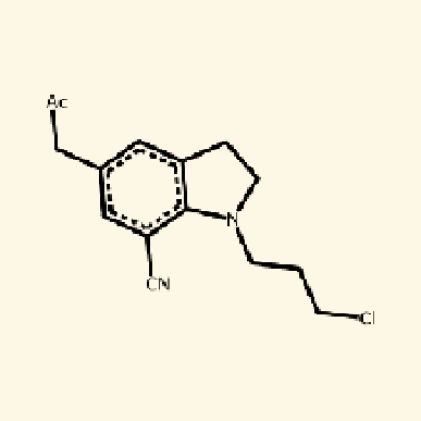 CC(=O)Cc1cc(C#N)c2c(c1)CCN2CCCCl